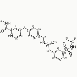 CNC(=O)c1cc(Cc2ccc(CNC(=O)Cc3cccc(S(=O)(=O)NC(C)C)c3)cc2)ccn1